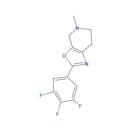 CN1CCc2nc(-c3cc(F)c(F)c(F)c3)oc2C1